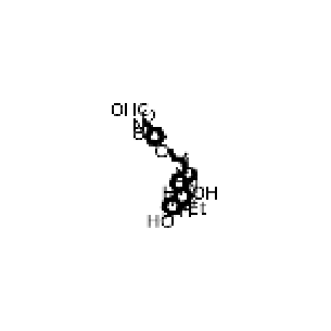 CC[C@H]1[C@@H](O)[C@@H]2[C@H](CC[C@]3(C)[C@@H]([C@H](C)CCOc4ccc5c(OC=O)noc5c4)CC[C@@H]23)[C@@]2(C)CC[C@@H](O)C[C@@H]12